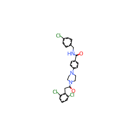 O=C(NCc1ccc(Cl)cc1)c1ccc(N2CCN(C(=O)Cc3c(Cl)cccc3Cl)CC2)cc1